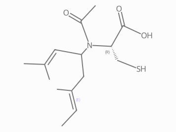 C/C=C(\C)CC(C=C(C)C)N(C(C)=O)[C@@H](CS)C(=O)O